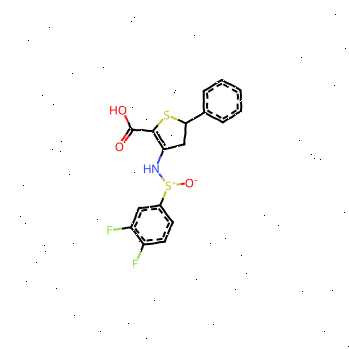 O=C(O)C1=C(N[S+]([O-])c2ccc(F)c(F)c2)CC(c2ccccc2)S1